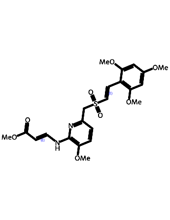 COC(=O)/C=C/Nc1nc(CS(=O)(=O)/C=C/c2c(OC)cc(OC)cc2OC)ccc1OC